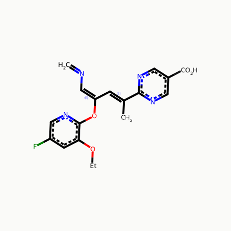 C=N/C=C(\C=C(/C)c1ncc(C(=O)O)cn1)Oc1ncc(F)cc1OCC